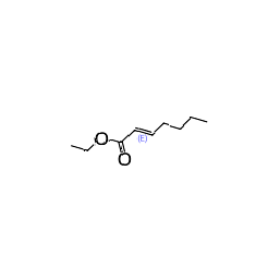 CCCC/C=C/C(=O)OCC